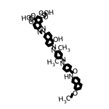 CCCOc1ccc2ccc(NC(=O)c3ccc(N=Nc4cc(C)c(N=Nc5ccc6cc(-n7nc8ccc9c(S(=O)(=O)O)cc(S(=O)(=O)O)cc9c8n7)ccc6c5O)cc4C)cc3)cc2c1